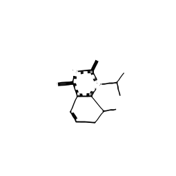 CC1CC=Cc2c1n(C(C)C)c(=O)[nH]c2=O